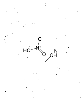 CO.O=[N+]([O-])O.[Ni]